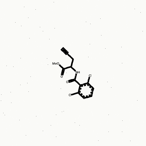 C#CCC(NC(=O)c1c(Cl)cccc1Cl)C(=O)OC